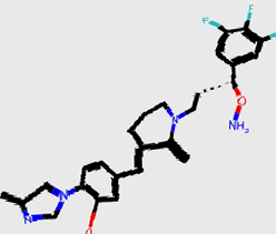 C=C1/C(=C/c2ccc(N3C=NC(C)C3)c(OC)c2)CCCN1CC[C@@H](ON)c1cc(F)c(F)c(F)c1